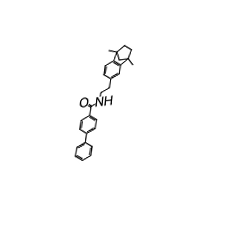 CC12CCC(C)(C1)c1cc(CCNC(=O)c3ccc(-c4ccccc4)cc3)ccc12